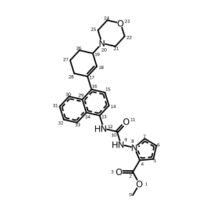 COC(=O)c1cccn1NC(=O)Nc1ccc(C2=CC(N3CCOCC3)CCC2)c2ccccc12